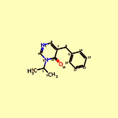 CC(C)n1cncc(Cc2ccccc2)c1=O